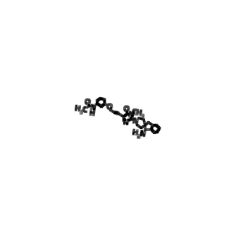 CC(=O)Nc1cccc(OCC#Cc2cnc(N3CCC4(CC3)Cc3ccccc3C4N)n(C)c2=O)c1